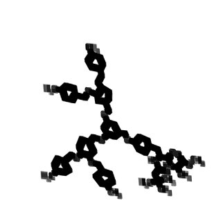 COC(=O)C(C)NC(=O)C(Cc1ccc(OCc2cc(OCc3ccc(CCc4ccc(C)cc4)c(OCc4ccc(C)cc4)c3)cc(OCc3ccc(OCc4ccc(C)cc4)c(OCc4ccc(C)cc4)c3)c2)cc1)NC(=O)CC(C)(C)C